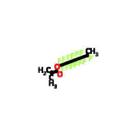 C=C(C)C(=O)OC(F)(F)C(F)(F)C(F)(F)C(F)(F)C(F)(F)C(F)(F)C(C)F